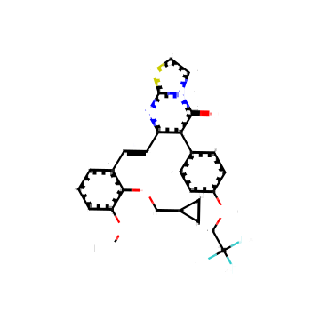 COc1cccc(/C=C/c2nc3sccn3c(=O)c2-c2ccc(OCC(F)(F)F)cc2)c1OCC1CC1